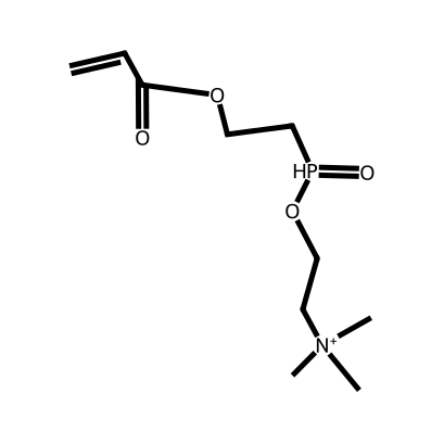 C=CC(=O)OCC[PH](=O)OCC[N+](C)(C)C